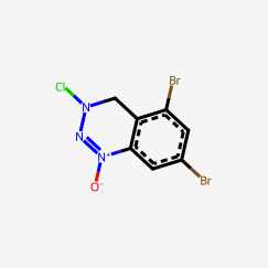 [O-][N+]1=NN(Cl)Cc2c(Br)cc(Br)cc21